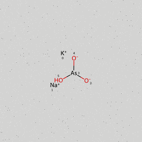 [K+].[Na+].[O-][As]([O-])O